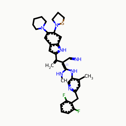 C=C(/C(C=N)=C(\NC)Nc1cnc(Cc2c(F)cccc2F)cc1C)c1cc2cc(N3CCCCC3)c(N3CCCS3)cc2[nH]1